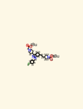 CC(C)(C)OC(=O)CN1CCC(c2nn(Cc3ccc(F)cc3)c3cc(C=CC4CCN(C(=O)OC(C)(C)C)CC4)ccc23)CC1